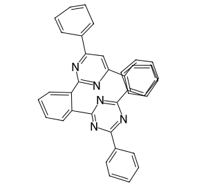 c1ccc(-c2cc(-c3ccccc3)nc(-c3ccccc3-c3nc(-c4ccccc4)nc(-c4ccccc4)n3)n2)cc1